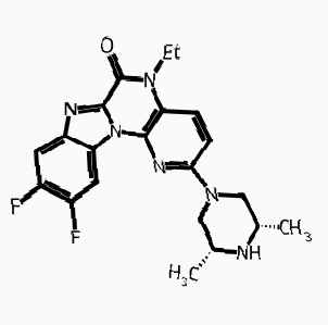 CCn1c(=O)c2nc3cc(F)c(F)cc3n2c2nc(N3C[C@@H](C)N[C@@H](C)C3)ccc21